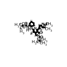 Cc1c2sc(-c3nc(N[C@@H]4CCCC[C@@H]4NC(=O)OC(C)(C)C)c(F)c4c3C(=O)N(C(=O)OC(C)(C)C)C4)cc2nn1C